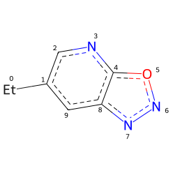 CCc1cnc2onnc2c1